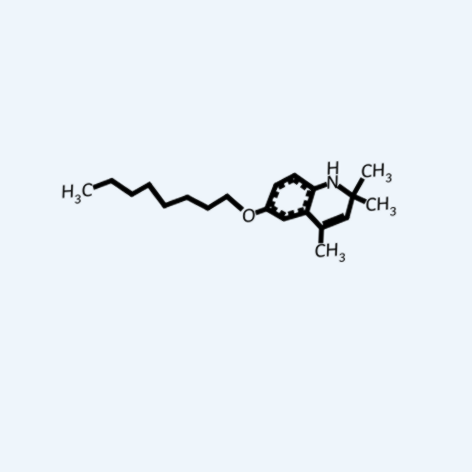 CCCCCCCCOc1ccc2c(c1)C(C)=CC(C)(C)N2